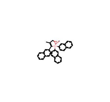 CC1=C(c2ccc3ccccc3c2)[B-](c2ccc3ccccc3c2)(c2ccc3ccccc3c2)[O+](C)C1